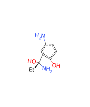 CC[C@@](N)(O)c1cc(N)ccc1O